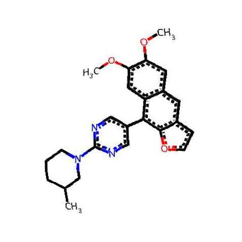 COc1cc2cc3ccoc3c(-c3cnc(N4CCCC(C)C4)nc3)c2cc1OC